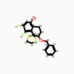 Fc1cc(Br)c2c(c1F)C1(SCCS1)C(OCc1ccccc1)CC2